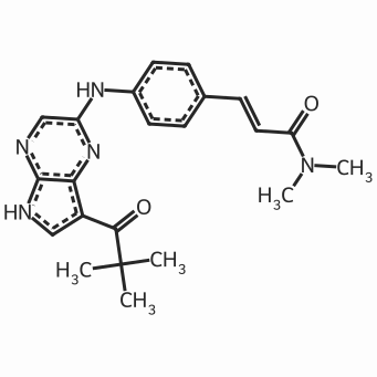 CN(C)C(=O)C=Cc1ccc(Nc2cnc3[nH]cc(C(=O)C(C)(C)C)c3n2)cc1